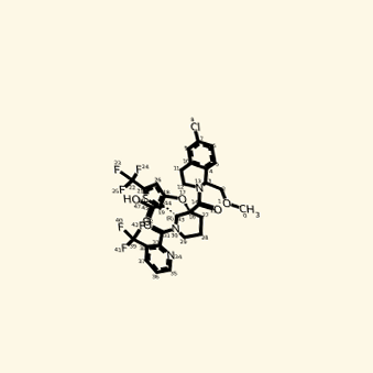 COCC1c2ccc(Cl)cc2CCN1C(=O)[C@]1(Oc2csc(C(F)(F)F)c2)CCCN(C(=O)c2ncccc2C(F)(F)F)[C@@H]1CC(=O)O